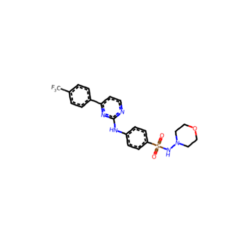 O=S(=O)(NN1CCOCC1)c1ccc(Nc2nccc(-c3ccc(C(F)(F)F)cc3)n2)cc1